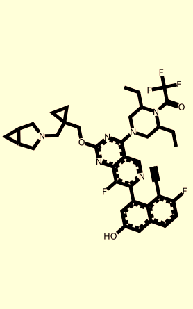 C#Cc1c(F)ccc2cc(O)cc(-c3ncc4c(N5CC(CC)N(C(=O)C(F)(F)F)C(CC)C5)nc(OCC5(CN6CC7CC7C6)CC5)nc4c3F)c12